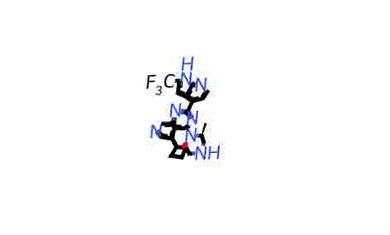 C[C@H]1CNCCN1c1nc(-c2ccnc3[nH]c(C(F)(F)F)cc23)nc2cncc(C3CCC3)c12